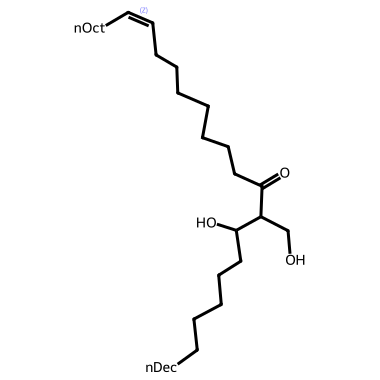 CCCCCCCC/C=C\CCCCCCCC(=O)C(CO)C(O)CCCCCCCCCCCCCCC